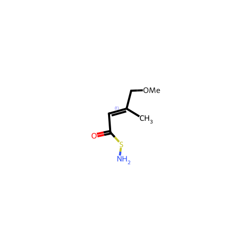 COC/C(C)=C/C(=O)SN